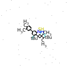 Cc1ccc(-c2cc(F)c(C3(C(C)(C)C)CC(C(C)C(C)(C)C)(C(C)(F)F)C3)c(NS)c2)cc1C